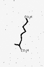 [CH2]C(CCCC[CH]C(=O)O)C(=O)O